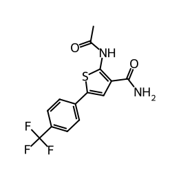 CC(=O)Nc1sc(-c2ccc(C(F)(F)F)cc2)cc1C(N)=O